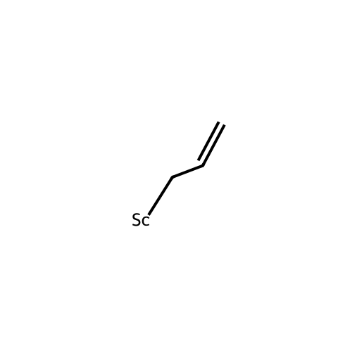 C=C[CH2][Sc]